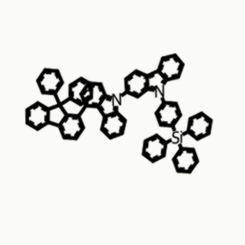 c1ccc(C2(c3ccccc3)c3ccccc3-c3cccc(-c4cccc5c4c4ccccc4n5-c4ccc5c6ccccc6n(-c6ccc([Si](c7ccccc7)(c7ccccc7)c7ccccc7)cc6)c5c4)c32)cc1